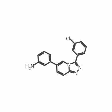 Nc1cccc(-c2ccc3nnc(-c4cccc(Cl)c4)n3c2)c1